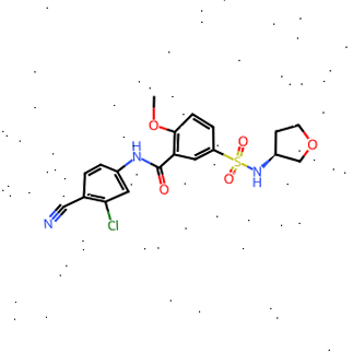 COc1ccc(S(=O)(=O)N[C@H]2CCOC2)cc1C(=O)Nc1ccc(C#N)c(Cl)c1